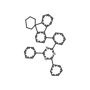 c1ccc(-c2nc(-c3ccccc3)nc(-c3ccccc3-c3cccc4c3-c3ccccc3C43CCCCC3)n2)cc1